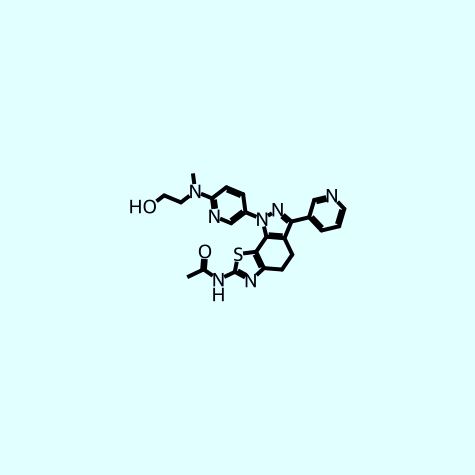 CC(=O)Nc1nc2c(s1)-c1c(c(-c3cccnc3)nn1-c1ccc(N(C)CCO)nc1)CC2